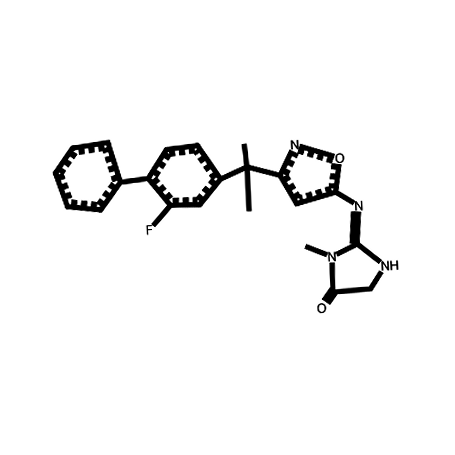 CN1C(=O)CNC1=Nc1cc(C(C)(C)c2ccc(-c3ccccc3)c(F)c2)no1